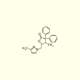 Cc1ccn(CC2OC(=O)C(c3ccccc3)(c3ccccc3)C2C)n1